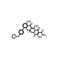 CC1C(O)=C(C(N)=O)C(=O)C2C(O)=C3C(=O)c4c(O)ccc(-c5ccc(CN6CCCC6)cc5)c4CC3(C)CC12